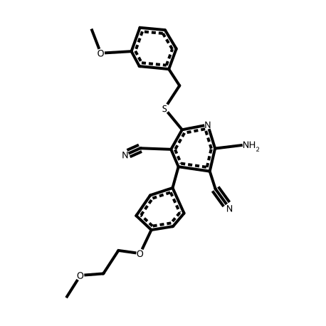 COCCOc1ccc(-c2c(C#N)c(N)nc(SCc3cccc(OC)c3)c2C#N)cc1